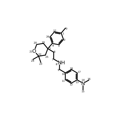 Cc1ccc(C2(CCNCc3ccc(N(C)C)cc3)CCOC(C)(C)C2)cc1